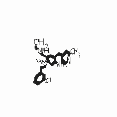 C=CNCc1cc(Cc2ccnc(C)c2)c(N)cc1NCCc1cccc(Cl)c1